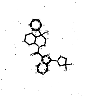 O=C(c1nc(N2CCC(F)(F)C2)c2cnccn12)N1CC[C@@](O)(c2ccccc2)[C@@H]2CCCCC21